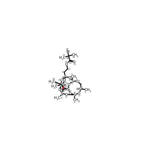 C[SiH]1CO[Si]2(C)O[Si]3(C)O[Si](C)(O1)O[Si]1(C)O[SiH](C)O[Si](CCOC(=O)C(C)(C)Br)(O2)O[Si](C)(O1)O3